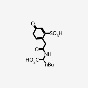 CCCC[C@H](NC(=O)CC1=CCC(=O)C=C1S(=O)(=O)O)C(=O)O